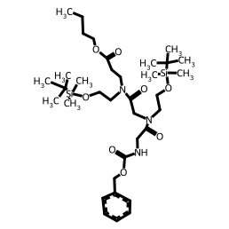 CCCCOC(=O)CCN(CCO[Si](C)(C)C(C)(C)C)C(=O)CN(CCO[Si](C)(C)C(C)(C)C)C(=O)CNC(=O)OCc1ccccc1